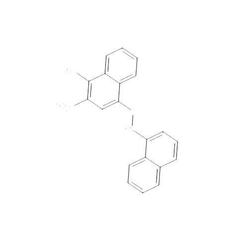 O=C(O)c1cc(SNc2cccc3ccccc23)c2ccccc2c1O